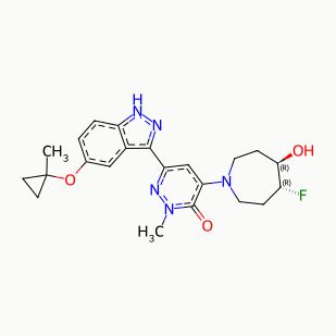 Cn1nc(-c2n[nH]c3ccc(OC4(C)CC4)cc23)cc(N2CC[C@@H](O)[C@H](F)CC2)c1=O